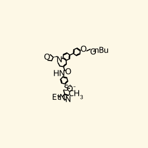 CCCCOCCOc1ccc(-c2ccc3c(c2)C=C(C(=O)Nc2ccc([S+]([O-])Cc4c(C)ncn4CC)cc2)CCN3C[C@H]2CCOC2)cc1